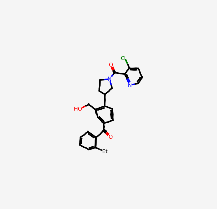 CCc1ccccc1C(=O)c1ccc(C2CCN(C(=O)c3ncccc3Cl)C2)c(CO)c1